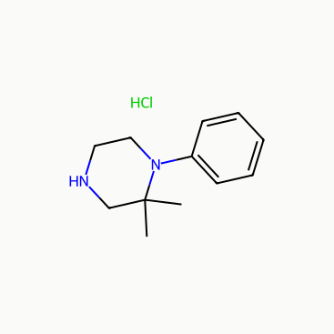 CC1(C)CNCCN1c1ccccc1.Cl